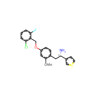 COc1cc(OCc2c(F)cccc2Cl)ccc1C[C@H](N)c1ccsc1